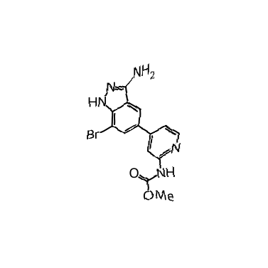 COC(=O)Nc1cc(-c2cc(Br)c3[nH]nc(N)c3c2)ccn1